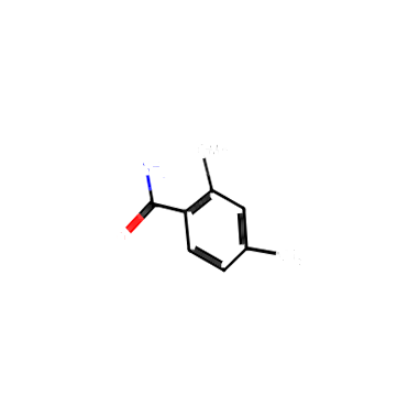 [CH2]c1ccc(C(N)=O)c(OC)c1